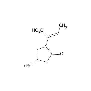 CC=C(C(=O)O)N1C[C@@H](CCC)CC1=O